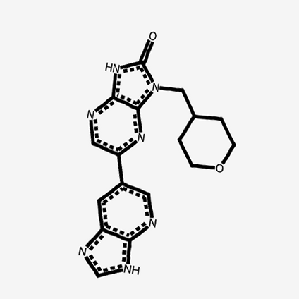 O=c1[nH]c2ncc(-c3cnc4[nH]cnc4c3)nc2n1CC1CCOCC1